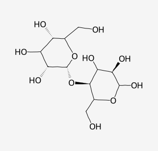 OCC1O[C@H](O[C@@H]2C(CO)OC(O)[C@H](O)C2O)[C@H](O)C(O)[C@@H]1O